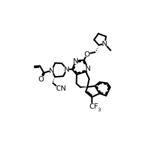 C=CC(=O)N1CCN(c2nc(OC[C@@H]3CCCN3C)nc3c2CC[C@@]2(C=C(C(F)(F)F)c4ccccc42)C3)C[C@@H]1CC#N